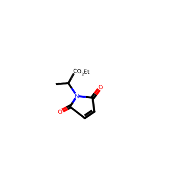 CCOC(=O)C(C)N1C(=O)C=CC1=O